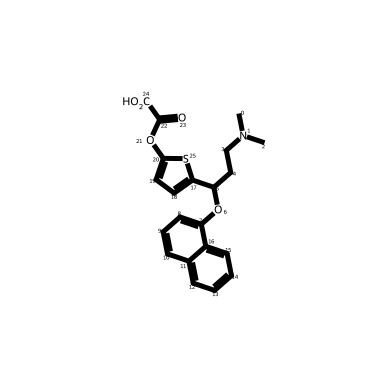 CN(C)CCC(Oc1cccc2ccccc12)c1ccc(OC(=O)C(=O)O)s1